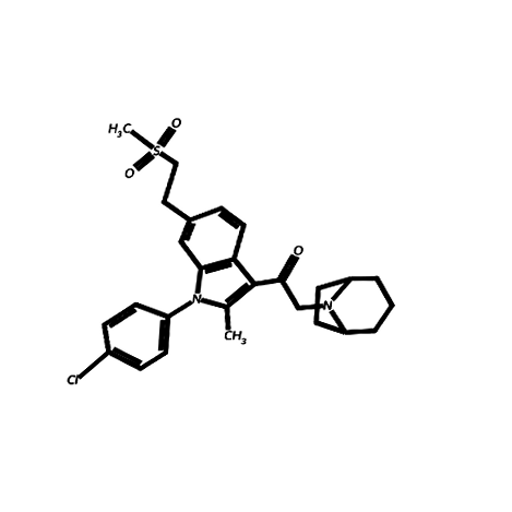 Cc1c(C(=O)CN2C3CCCC2CC3)c2ccc(CCS(C)(=O)=O)cc2n1-c1ccc(Cl)cc1